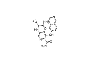 NC(=O)c1ncc(NC(C(N)=O)C2CC2)nc1Nc1ccc2cnccc2c1